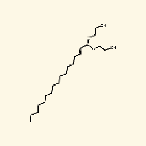 CCCCCCCCCCCCCCC=CN(OCCO)OCCO